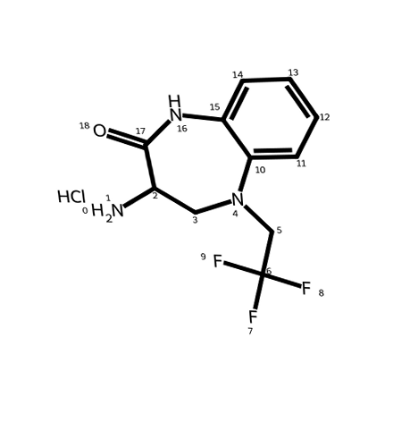 Cl.NC1CN(CC(F)(F)F)c2ccccc2NC1=O